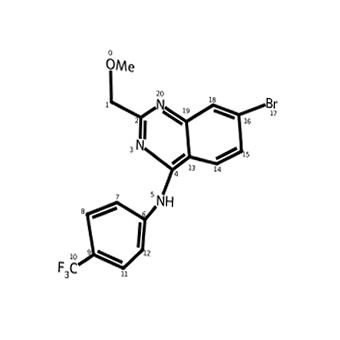 COCc1nc(Nc2ccc(C(F)(F)F)cc2)c2ccc(Br)cc2n1